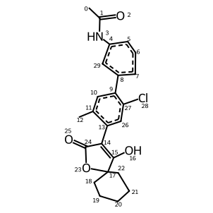 CC(=O)Nc1cccc(-c2cc(C)c(C3=C(O)C4(CCCCC4)OC3=O)cc2Cl)c1